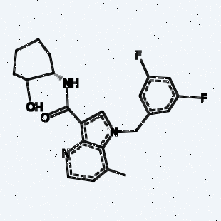 Cc1ccnc2c(C(=O)N[C@H]3CCCCC3O)cn(Cc3cc(F)cc(F)c3)c12